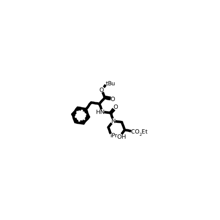 CCOC(=O)C(O)CN(CC(C)C)C(=O)NC(Cc1ccccc1)C(=O)OC(C)(C)C